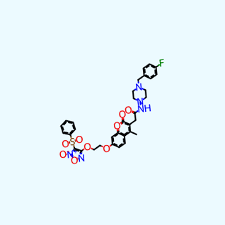 Cc1c(CC(=O)NN2CCN(Cc3ccc(F)cc3)CC2)c(=O)oc2cc(OCCOc3no[n+]([O-])c3S(=O)(=O)c3ccccc3)ccc12